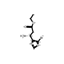 CCOC(=O)C[C@@H](N)c1ncsc1Br